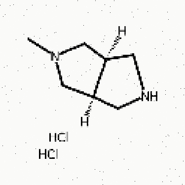 CN1C[C@H]2CNC[C@H]2C1.Cl.Cl